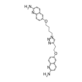 Nc1ccc2cc(OCCCCn3cc(CCOc4ccc5nc(N)ccc5c4)nn3)ccc2n1